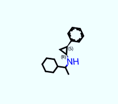 CC(N[C@@H]1C[C@H]1c1ccccc1)C1CCCCC1